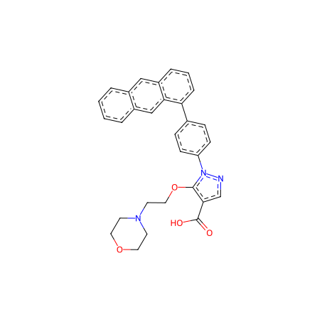 O=C(O)c1cnn(-c2ccc(-c3cccc4cc5ccccc5cc34)cc2)c1OCCN1CCOCC1